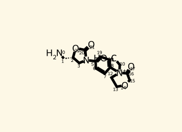 NC[C@H]1CN(c2ccc([N+]3(CC(=O)O)CCOCC3=O)cc2)C(=O)O1